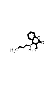 CCCCNc1c(C=O)c(=O)oc2ccccc12